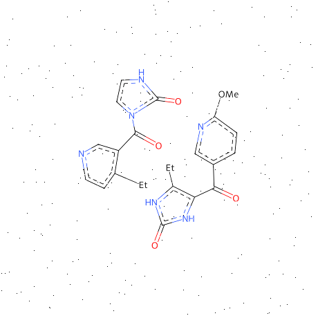 CCc1[nH]c(=O)[nH]c1C(=O)c1ccc(OC)nc1.CCc1ccncc1C(=O)n1cc[nH]c1=O